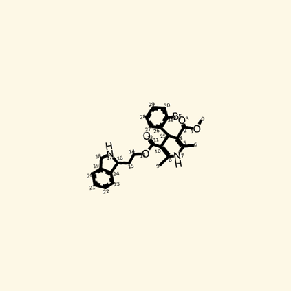 COC(=O)C1=C(C)NC(C)=C(C(=O)OCCC2NCc3ccccc32)C1c1ccccc1Br